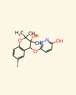 CC1(C)Oc2ccc(I)cc2C(Oc2ccc(O)nn2)C1(C)O